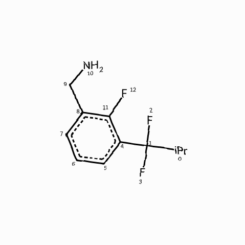 CC(C)C(F)(F)c1cccc(CN)c1F